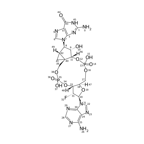 Nc1nc2c(ncn2[C@H]2[C@H](O)[C@@H]3OP(=O)(O)OC[C@H]4O[C@@H](n5cnc6c(N)ncnc65)[C@H](F)[C@@H]4OP(=O)(O)OC[C@]34C[C@H]24)c(=O)[nH]1